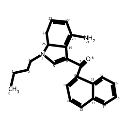 CCCCN1C=C(C(=O)c2cccc3ccccc23)C2=C(N)C=CCC21